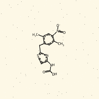 Cc1cc([N+](=O)[O-])c(C)cc1Cc1nc(NC(=O)O)cs1